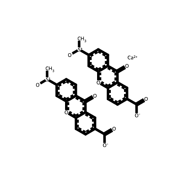 C[S+]([O-])c1ccc2c(=O)c3cc(C(=O)[O-])ccc3oc2c1.C[S+]([O-])c1ccc2c(=O)c3cc(C(=O)[O-])ccc3oc2c1.[Ca+2]